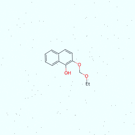 CCOCOc1ccc2ccccc2c1O